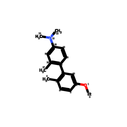 CCOc1ccc(C)c(-c2ccc(N(C)C)cc2C)c1